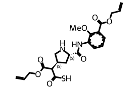 C=CCOC(=O)c1cccc(NC(=O)[C@@H]2C[C@@H](C(C(=O)S)C(=O)OCC=C)CN2)c1OC